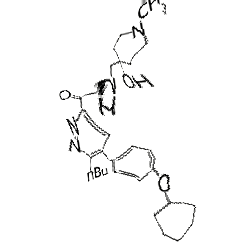 CCCCc1nnc(C(=O)NCC2(O)CCN(C)CC2)cc1-c1ccc(OC2CCCCC2)cc1